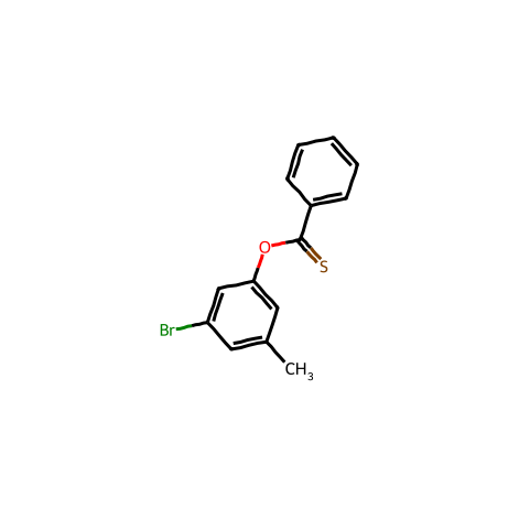 Cc1cc(Br)cc(OC(=S)c2ccccc2)c1